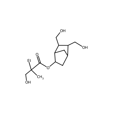 CCC(C)(CO)C(=O)OC1CC2CC1C(CO)C2CO